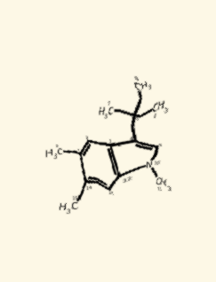 Cc1cc2c(C(C)(C)C)cn(C)c2cc1C